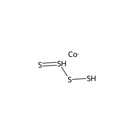 S=[SH]SS.[Co]